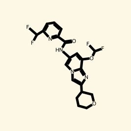 O=C(Nc1cc(OC(F)F)c2nc(C3CCCOC3)cn2c1)c1cccc(C(F)F)n1